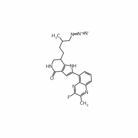 Cc1nc2cccc(-c3cc4c([nH]3)C(CCC(C)CN=[N+]=[N-])CNC4=O)c2nc1F